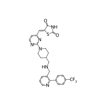 O=C1NC(=O)C(=Cc2ccnc(N3CCC(CNCc4cccnc4-c4ccc(C(F)(F)F)cc4)CC3)n2)S1